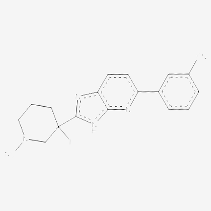 N#Cc1cccc(-c2ccc3nc(C4(F)CCCN(C#N)C4)[nH]c3n2)c1